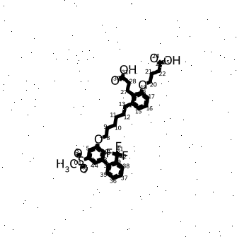 CS(=O)(=O)c1cc(OCCCCCCc2cccc(OCCCC(=O)O)c2CCC(=O)O)cc(-c2ccccc2C(F)(F)F)c1